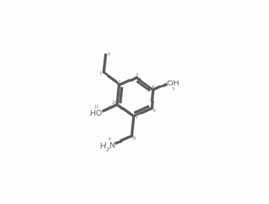 CCc1cc(O)cc(CN)c1O